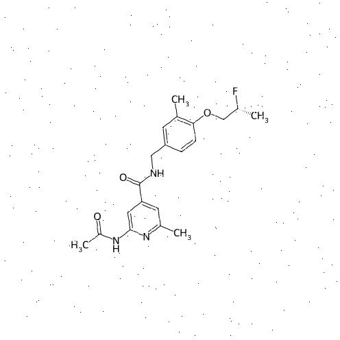 CC(=O)Nc1cc(C(=O)NCc2ccc(OC[C@@H](C)F)c(C)c2)cc(C)n1